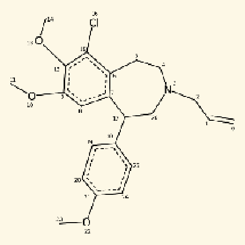 C=CCN1CCc2c(cc(OC)c(OC)c2Cl)C(c2ccc(OC)cc2)C1